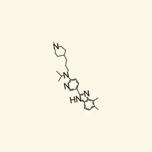 Cc1ccc2[nH]c(-c3ccc(N(CCCC4CCN(C)CC4)C(C)C)nc3)nc2c1C